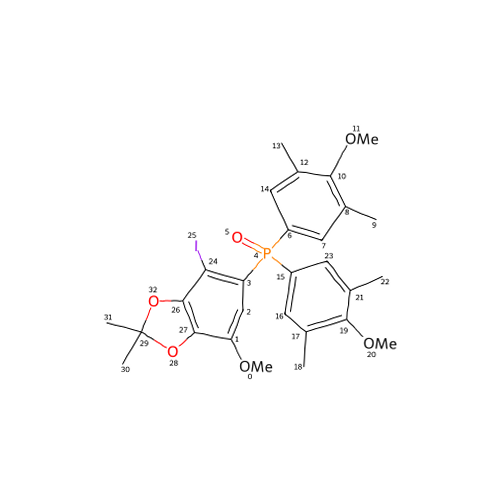 COc1cc(P(=O)(c2cc(C)c(OC)c(C)c2)c2cc(C)c(OC)c(C)c2)c(I)c2c1OC(C)(C)O2